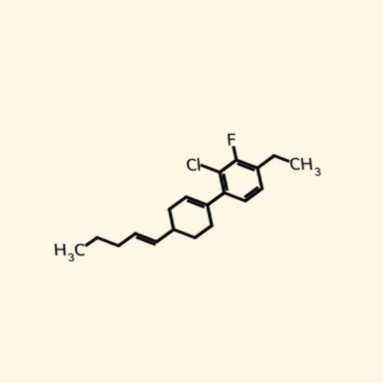 CCC/C=C/C1CC=C(c2ccc(CC)c(F)c2Cl)CC1